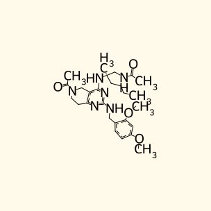 CCCC[C@](C)(CNC(C)=O)Nc1nc(NCc2ccc(OC)cc2OC)nc2c1CN(C(C)=O)CC2